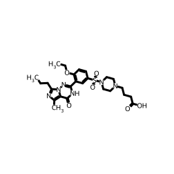 CCCc1nc(C)c2c(=O)[nH]c(-c3cc(S(=O)(=O)N4CCN(CCCC(=O)O)CC4)ccc3OCC)nn12